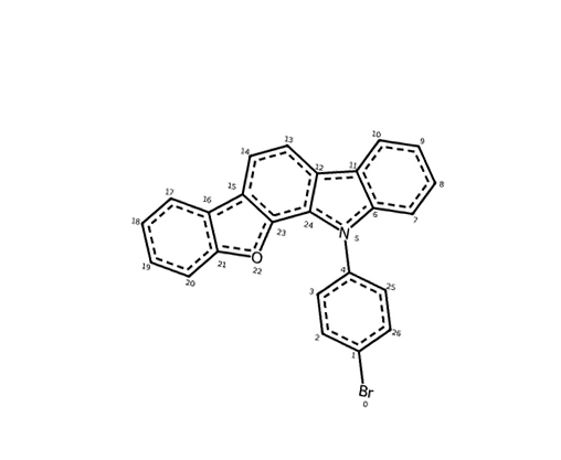 Brc1ccc(-n2c3ccccc3c3ccc4c5ccccc5oc4c32)cc1